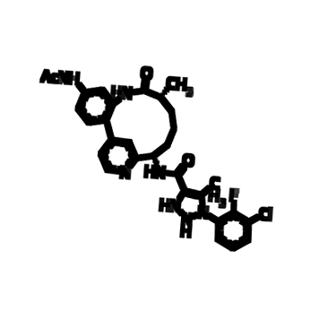 CC(=O)Nc1ccc2c(c1)NC(=O)[C@H](C)CCC[C@H](NC(=O)C1=C(C)N(c3cccc(Cl)c3F)NN1)c1cc-2ccn1